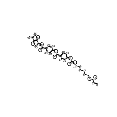 C=CC(=O)OCCCCCCOC(=O)Oc1ccc(C(=O)Oc2ccc(C(=O)O[C@H]3COC4C3OC[C@@H]4C)cc2)cc1